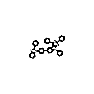 c1ccc(-c2nc(-c3ccccc3)c3c4cc(-c5ccc(-n6c(-c7ccccc7)nc7ccccc76)cc5)ccc4n(-c4ccccc4)c3n2)cc1